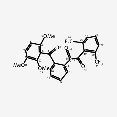 COc1ccc(OC)c(C(=O)c2ccccc2[P](=O)C(=O)c2c(C(F)(F)F)cccc2C(F)(F)F)c1OC